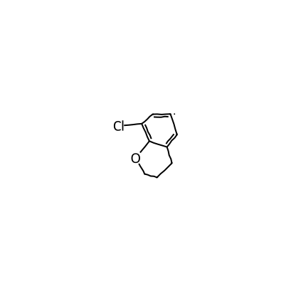 Clc1c[c]cc2c1OCCC2